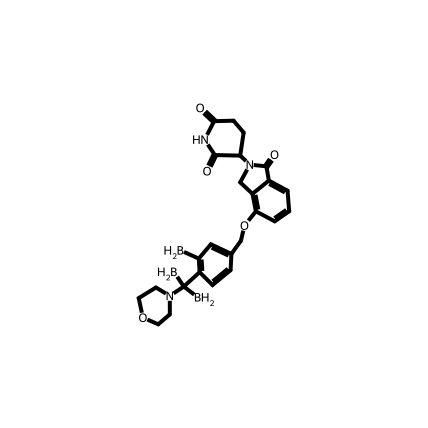 Bc1cc(COc2cccc3c2CN(C2CCC(=O)NC2=O)C3=O)ccc1C(B)(B)N1CCOCC1